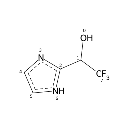 OC(c1ncc[nH]1)C(F)(F)F